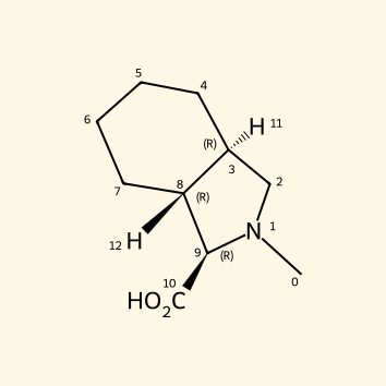 CN1C[C@@H]2CCCC[C@H]2[C@@H]1C(=O)O